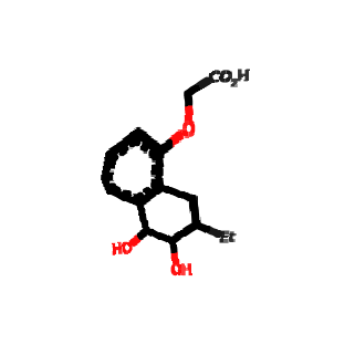 [CH2]CC1Cc2c(OCC(=O)O)cccc2C(O)C1O